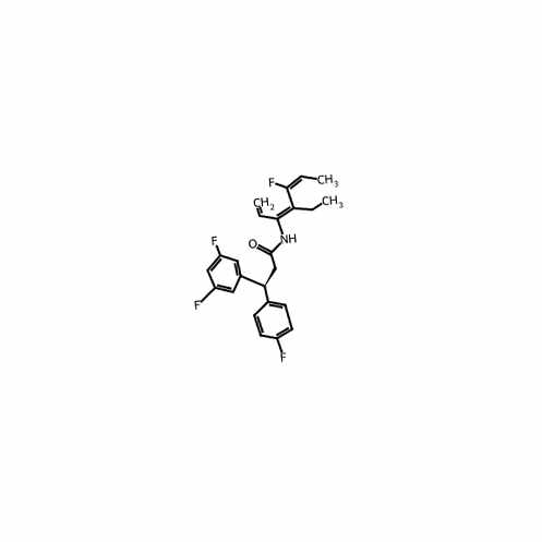 C=C/C(NC(=O)C[C@@H](c1ccc(F)cc1)c1cc(F)cc(F)c1)=C(CC)\C(F)=C/C